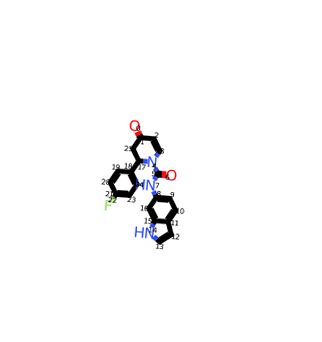 O=C1C=CN(C(=O)Nc2ccc3cc[nH]c3c2)C(c2ccc(F)cc2)C1